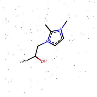 CCCC(O)C[n+]1ccn(C)c1C